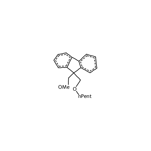 CCCCCOCC1(COC)c2ccccc2-c2ccccc21